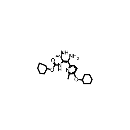 Cc1nc(/C(N)=C(\NC(=O)OC2CCCCC2)N(C)N)ccc1OC1CCCCC1